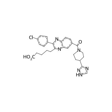 O=C(O)CCCCc1nc2cc(C(=O)N3CCC(c4nc[nH]n4)CC3)ccc2nc1-c1ccc(Cl)cc1